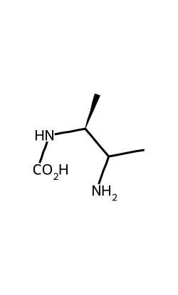 CC(N)[C@H](C)NC(=O)O